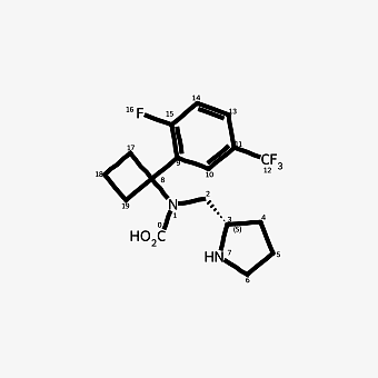 O=C(O)N(C[C@@H]1CCCN1)C1(c2cc(C(F)(F)F)ccc2F)CCC1